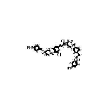 Cc1cc(C=CC(=O)N2CCN(Cc3ccc(CCOc4ccc(C(C)C)cc4)cc3)CC2)cc(Cl)c1Oc1ccc(OCc2ccc(C#N)cc2)cn1